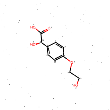 O=C(O)[C@H](O)c1ccc(OCCO)cc1